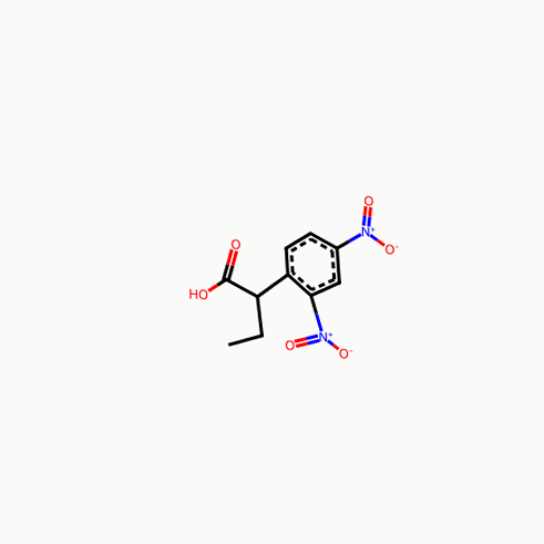 CCC(C(=O)O)c1ccc([N+](=O)[O-])cc1[N+](=O)[O-]